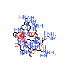 CCCC[C@H](NC(=O)[C@H](CCCNC(=N)N)NC(=O)[C@H](CCCNC(=N)N)NC(=O)[C@H](CCCNC(=N)N)NC(=O)CN)C(=O)N[C@@H](CCCCN)C(=O)N[C@@H](Cc1c[nH]cn1)C(=O)NCC(=O)N1CCC[C@H]1C(=O)N[C@@H](CCCNC(=N)N)C(=O)N[C@@H](CCCCN)C(=O)NCC(=O)O